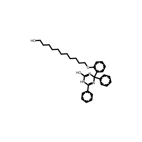 OCCCCCCCCCCCOc1ccccc1C1(c2ccccc2)N=C(O)NC(c2ccccc2)=N1